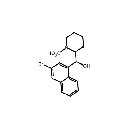 O=C(O)N1CCCC[C@H]1[C@@H](O)c1cc(Br)nc2ccccc12